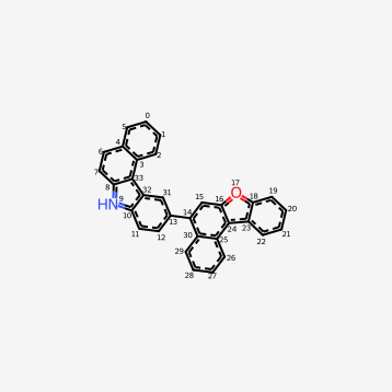 c1ccc2c(c1)ccc1[nH]c3ccc(-c4cc5oc6ccccc6c5c5ccccc45)cc3c12